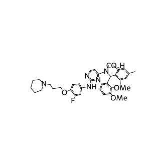 COc1cccc(C(c2c(C)cc(C)cc2C)N(C(=O)O)c2ccnc(Nc3ccc(OCCCN4CCCCC4)c(F)c3)n2)c1OC